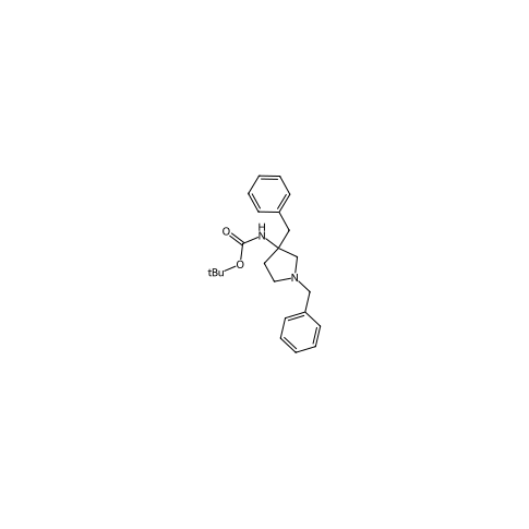 CC(C)(C)OC(=O)NC1(Cc2ccccc2)CCN(Cc2ccccc2)C1